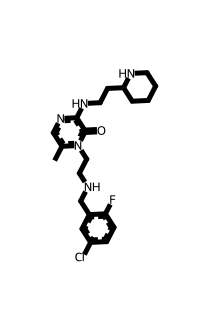 Cc1cnc(NCCC2CCCCN2)c(=O)n1CCNCc1cc(Cl)ccc1F